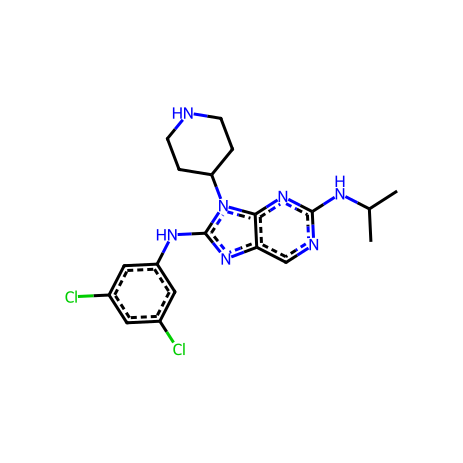 CC(C)Nc1ncc2nc(Nc3cc(Cl)cc(Cl)c3)n(C3CCNCC3)c2n1